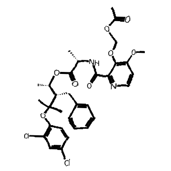 COc1ccnc(C(=O)N[C@@H](C)C(=O)O[C@@H](C)[C@H](Cc2ccccc2)C(C)(C)Oc2ccc(Cl)cc2Cl)c1OCOC(C)=O